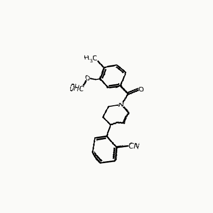 Cc1ccc(C(=O)N2CCC(c3ccccc3C#N)CC2)cc1OC=O